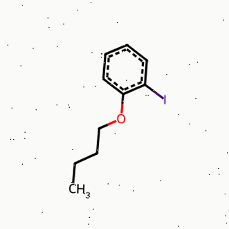 CCCCOc1c[c]ccc1I